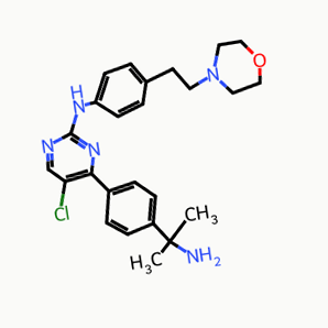 CC(C)(N)c1ccc(-c2nc(Nc3ccc(CCN4CCOCC4)cc3)ncc2Cl)cc1